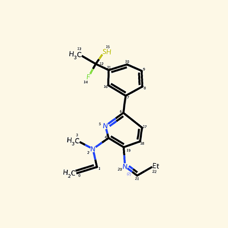 C=CN(C)c1nc(-c2cccc(C(C)(F)S)c2)ccc1/N=C\CC